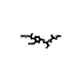 CCOC(=O)/C(C)=C/c1ccc(OC/C(=C\F)CNC(=O)OC(C)(C)C)cc1NC(C)=O